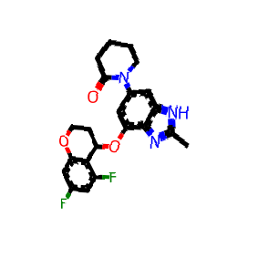 Cc1nc2c(OC3CCOc4cc(F)cc(F)c43)cc(N3CCCCC3=O)cc2[nH]1